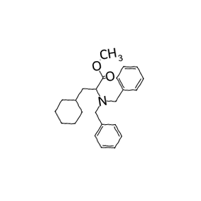 COC(=O)C(CC1CCCCC1)N(Cc1ccccc1)Cc1ccccc1